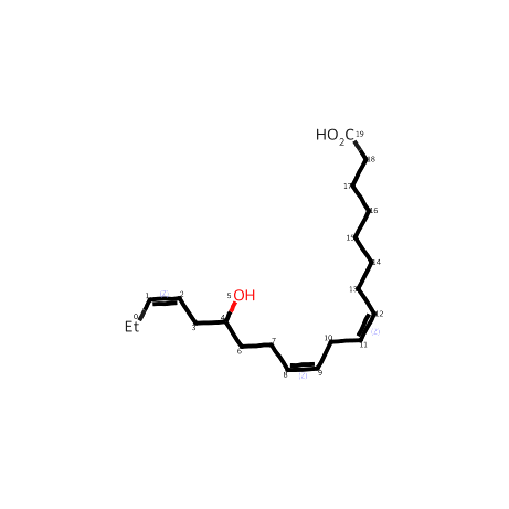 CC/C=C\CC(O)CC/C=C\C/C=C\CCCCCCC(=O)O